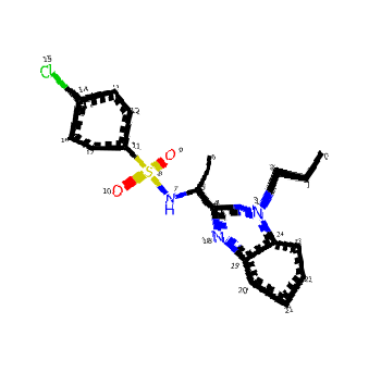 CCCn1c(C(C)NS(=O)(=O)c2ccc(Cl)cc2)nc2ccccc21